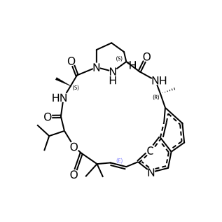 CC(C)C1OC(=O)C(C)(C)/C=C/c2cc3cc(ccc3cn2)[C@@H](C)NC(=O)[C@@H]2CCCN(N2)C(=O)[C@H](C)NC1=O